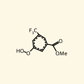 COC(=O)c1cc(OO)cc(C(F)(F)F)c1